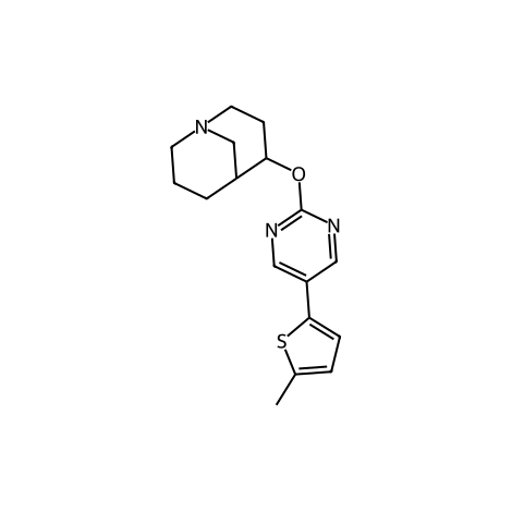 Cc1ccc(-c2cnc(OC3CCN4CCCC3C4)nc2)s1